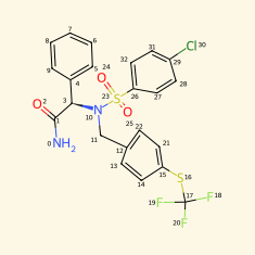 NC(=O)[C@@H](c1ccccc1)N(Cc1ccc(SC(F)(F)F)cc1)S(=O)(=O)c1ccc(Cl)cc1